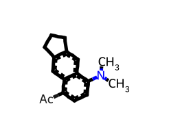 CC(=O)c1ccc(N(C)C)c2cc3c(cc12)CCC3